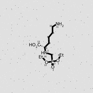 CCOP(=O)(CN[C@@H](CCCCN)C(=O)O)OCC